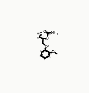 COc1ccccc1OCC(CO)OC(N)=O